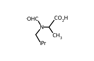 CC(C)CN([C]=O)C(C)C(=O)O